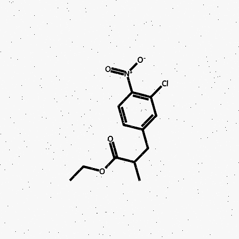 CCOC(=O)C(C)Cc1ccc([N+](=O)[O-])c(Cl)c1